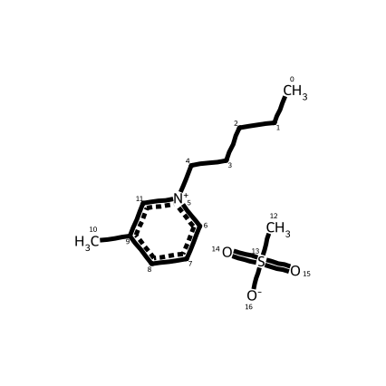 CCCCC[n+]1cccc(C)c1.CS(=O)(=O)[O-]